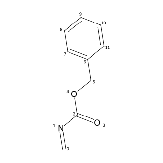 C=NC(=O)OCc1ccccc1